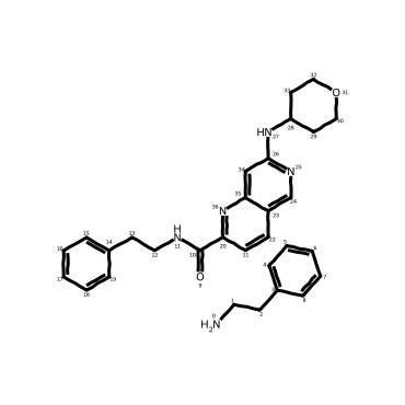 NCCc1ccccc1.O=C(NCCc1ccccc1)c1ccc2cnc(NC3CCOCC3)cc2n1